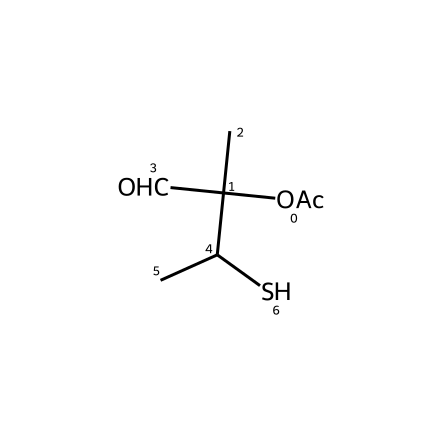 CC(=O)OC(C)(C=O)C(C)S